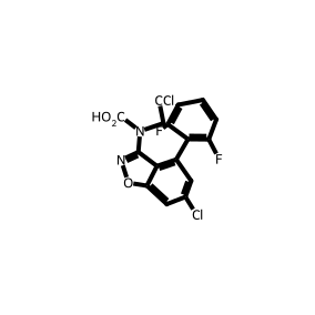 O=C(O)N(CC(Cl)(Cl)Cl)c1noc2cc(Cl)cc(-c3c(F)cccc3F)c12